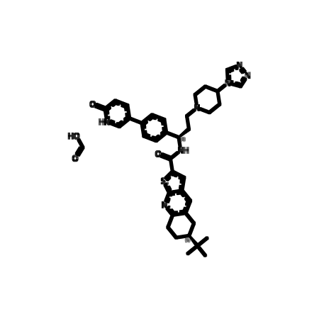 CC(C)(C)[C@H]1CCc2nc3sc(C(=O)N[C@H](CCN4CCC(n5cnnc5)CC4)c4ccc(-c5ccc(=O)[nH]c5)cc4)cc3cc2C1.O=CO